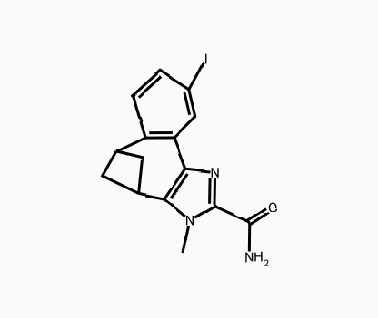 Cn1c(C(N)=O)nc2c1C1CC(C1)c1ccc(I)cc1-2